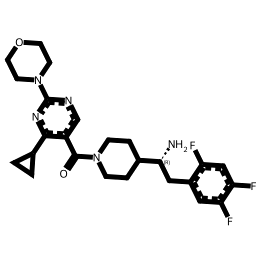 N[C@H](Cc1cc(F)c(F)cc1F)C1CCN(C(=O)c2cnc(N3CCOCC3)nc2C2CC2)CC1